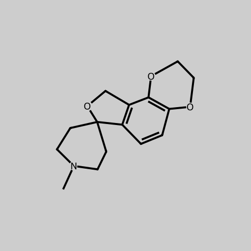 CN1CCC2(CC1)OCc1c2ccc2c1OCCO2